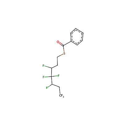 O=C(SCCC(F)C(F)(F)C(F)CC(F)(F)F)c1ccccc1